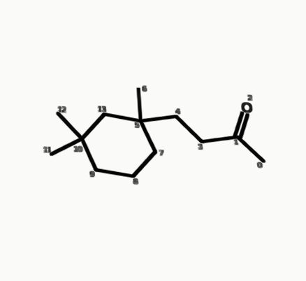 CC(=O)CCC1(C)CCCC(C)(C)C1